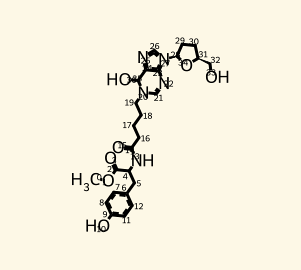 COC(=O)C(Cc1ccc(O)cc1)NC(=O)CCCCN1C=Nc2c(ncn2[C@H]2CC[C@@H](CO)O2)C1O